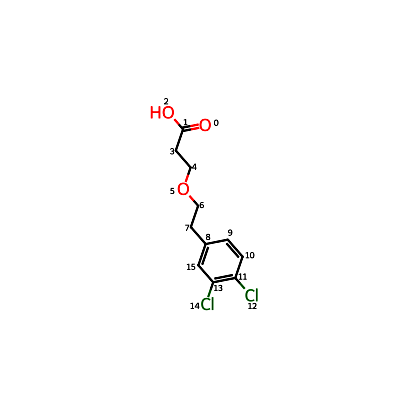 O=C(O)CCOCCc1ccc(Cl)c(Cl)c1